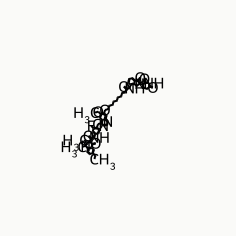 CCc1ccc2c(c1)c(=O)c(C(=O)Nc1ccc(Oc3ncnc4cc(OCCCCCCCCCC(=O)Nc5cccc6c5CN(C5CCC(=O)NC5=O)C6=O)c(OC)cc34)c(F)c1)c(C)n2C